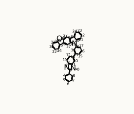 Cn1c(-c2ccccc2)nc2ccc(-c3cccc(-n4c5ccccc5c5cc6oc7ccccc7c6cc54)c3)cc21